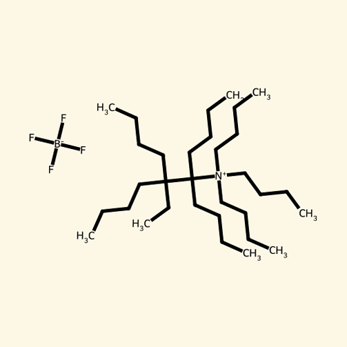 CCCCC(CC)(CCCC)C(CCCC)(CCCC)[N+](CCCC)(CCCC)CCCC.F[B-](F)(F)F